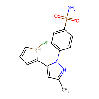 NS(=O)(=O)c1ccc(-n2nc(C(F)(F)F)cc2C2=CC=C[SH]2Br)cc1